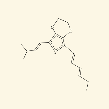 CC/C=C/C=C/c1sc(/C=C/C(C)C)c2c1OCCO2